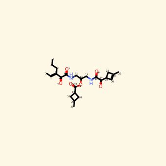 C/C=C(\CCC)C(=O)C(=O)NCC(CNC(=O)C(=O)C1C=C(C)C1)OC(=O)C1CC(C)C1